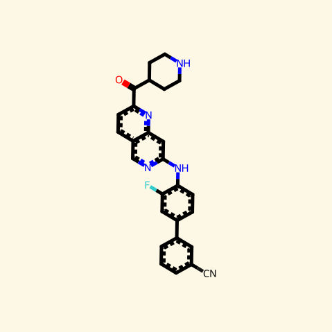 N#Cc1cccc(-c2ccc(Nc3cc4nc(C(=O)C5CCNCC5)ccc4cn3)c(F)c2)c1